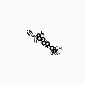 C=C(C)[C@@H]1CC[C@]2(NCCN3CCOCC3)CC[C@]3(C)[C@H](CCC4[C@@]5(C)CC=C(C6=CCC(C(=O)O)(C(=O)O)CC6)C(C)(C)C5CC[C@]43C)C12